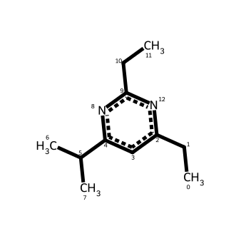 CCc1cc(C(C)C)nc(CC)n1